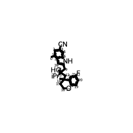 Cc1cc(C#N)cc2[nH]c(CC(O)(CC3(C)CCOc4ccc(F)cc43)C(C)C)cc12